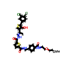 COCCOCCNC(=O)c1ccc(CNC(=O)c2ccc(C(=O)N/N=C(\C)c3csc(-c4ccc(Cl)c(Cl)c4)c3O)s2)cc1